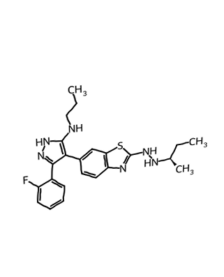 CCCNc1[nH]nc(-c2ccccc2F)c1-c1ccc2nc(NN[C@H](C)CC)sc2c1